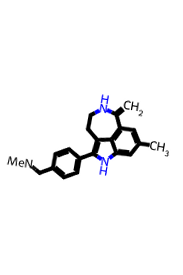 C=C1NCCc2c(-c3ccc(CNC)cc3)[nH]c3cc(C)cc1c23